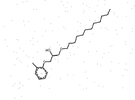 CCCCCCCCCCCCOCC(O)COc1ccccc1C